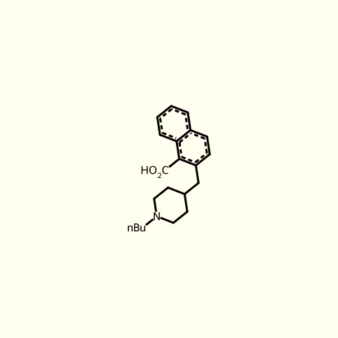 CCCCN1CCC(Cc2ccc3ccccc3c2C(=O)O)CC1